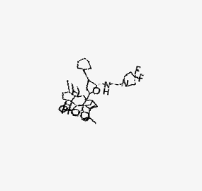 CC(C)C1=CC2CC3(C=O)[C@@H]4CC[C@@H](C)[C@H]4CC2([C@H]2C[C@@H](C4CCCCC4)[C@H](CNCCN4CCC(F)(F)CC4)O2)[C@]13C(=O)O